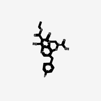 CCOC(=O)c1c(O)c2ncc(Cc3ccc(F)cc3)c3c2n(c1=O)C[C@@H](C(=O)O)O3